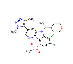 Cc1nnn(C)c1-c1cnc2c3c(S(C)(=O)=O)cc(F)c(F)c3n([C@H](C)C3CCOCC3)c2c1